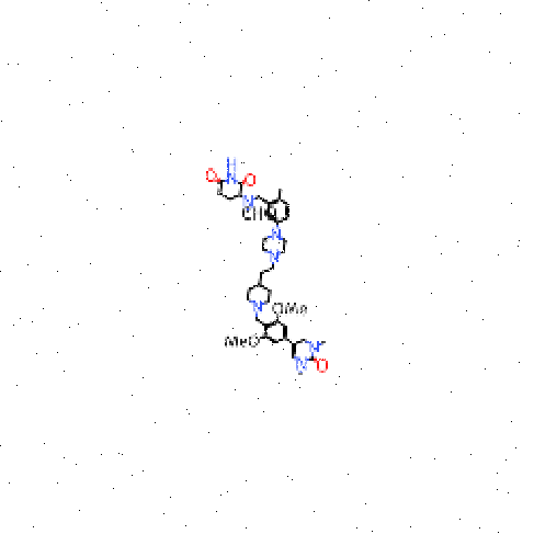 COc1cc(C2=CN(C)C(=O)N(C)C2)cc(OC)c1CN1CCC(CCN2CCN(c3ccc(C)c(CN(C=O)C4CCC(=O)NC4=O)c3)CC2)CC1